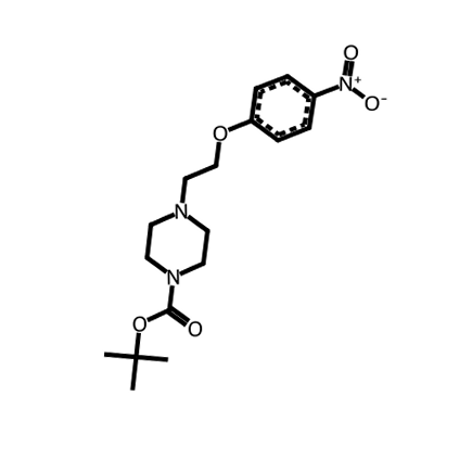 CC(C)(C)OC(=O)N1CCN(CCOc2ccc([N+](=O)[O-])cc2)CC1